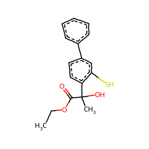 CCOC(=O)C(C)(O)c1ccc(-c2ccccc2)cc1S